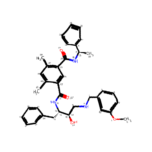 COc1cccc(CNC[C@@H](O)[C@H](Cc2ccccc2)NC(=O)c2cc(C(=O)N[C@H](C)c3ccccc3)c(C)cc2C)c1